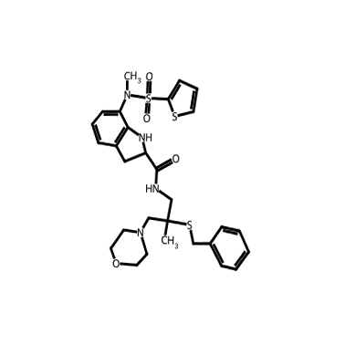 CN(c1cccc2c1NC(C(=O)NCC(C)(CN1CCOCC1)SCc1ccccc1)C2)S(=O)(=O)c1cccs1